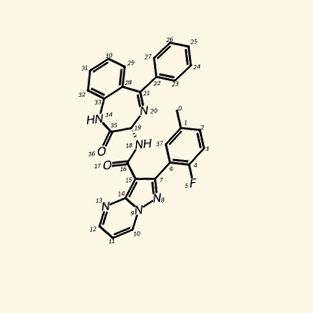 Cc1ccc(F)c(-c2nn3cccnc3c2C(=O)N[C@H]2N=C(c3ccccc3)c3ccccc3NC2=O)c1